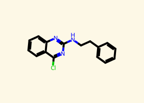 Clc1nc(NCCc2ccccc2)nc2ccccc12